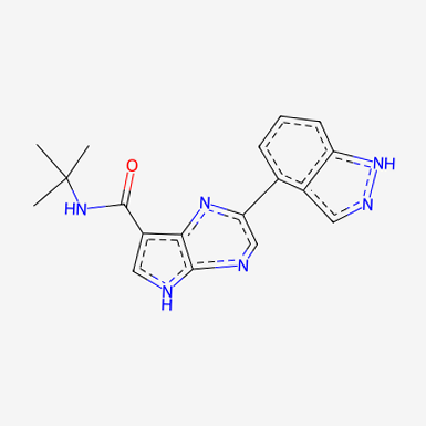 CC(C)(C)NC(=O)c1c[nH]c2ncc(-c3cccc4[nH]ncc34)nc12